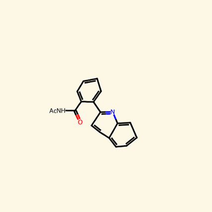 CC(=O)NC(=O)c1ccccc1-c1ccc2ccccc2n1